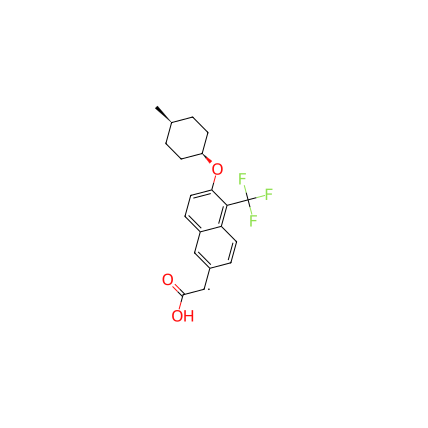 C[C@H]1CC[C@@H](Oc2ccc3cc([CH]C(=O)O)ccc3c2C(F)(F)F)CC1